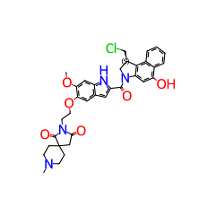 COc1cc2[nH]c(C(=O)N3C[C@@H](CCl)c4c3cc(O)c3ccccc43)cc2cc1OCCN1C(=O)CC2(CCN(C)CC2)C1=O